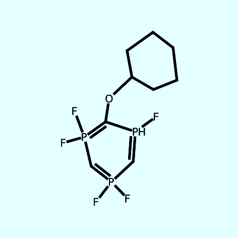 F[PH]1=CP(F)(F)=CP(F)(F)=C1OC1CCCCC1